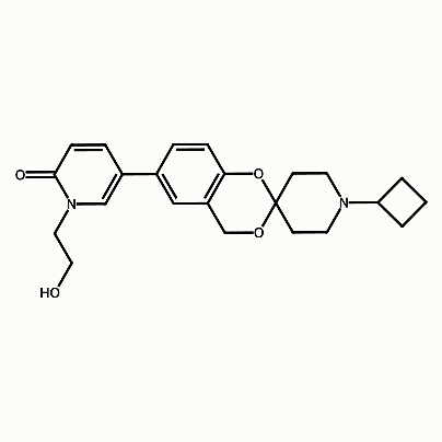 O=c1ccc(-c2ccc3c(c2)COC2(CCN(C4CCC4)CC2)O3)cn1CCO